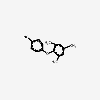 Cc1cc(C)c(Oc2ccc(C#N)cc2)c(C)c1